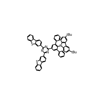 CC(C)(C)c1ccc2c(c1)c1cc(C(C)(C)C)ccc1n2-c1c(-c2ccccc2)cc(-c2nc(-c3ccc4c(c3)sc3ccccc34)nc(-c3ccc4c(c3)sc3ccccc34)n2)cc1-c1ccccc1